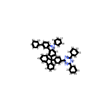 c1ccc(-c2ccc3c(c2)c2cc(C4(c5ccc(-c6nc(-c7ccccc7)nc(-c7ccccc7)n6)cc5)c5ccccc5-c5ccccc54)ccc2n3-c2ccccc2)cc1